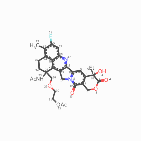 CC[C@@]1(O)C(=O)OCc2c1cc1n(c2=O)Cc2c-1nc1cc(F)c(C)c3c1c2C(COCCOC(C)=O)(NC(C)=O)CC3